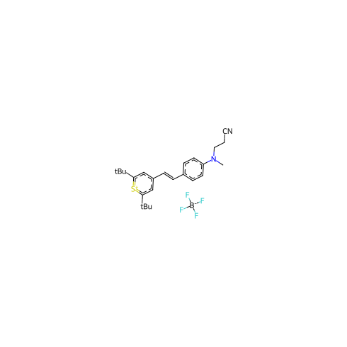 CN(CCC#N)c1ccc(C=Cc2cc(C(C)(C)C)[s+]c(C(C)(C)C)c2)cc1.F[B-](F)(F)F